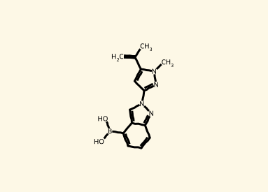 C=C(C)c1cc(-n2cc3c(B(O)O)cccc3n2)nn1C